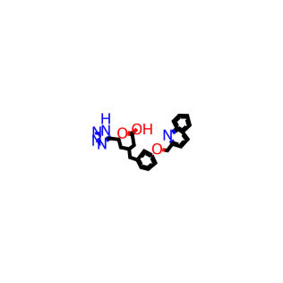 O=C(O)CC(CCc1nnn[nH]1)Cc1cccc(OCc2ccc3ccccc3n2)c1